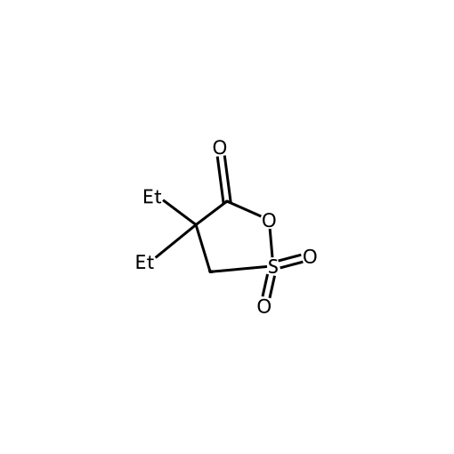 CCC1(CC)CS(=O)(=O)OC1=O